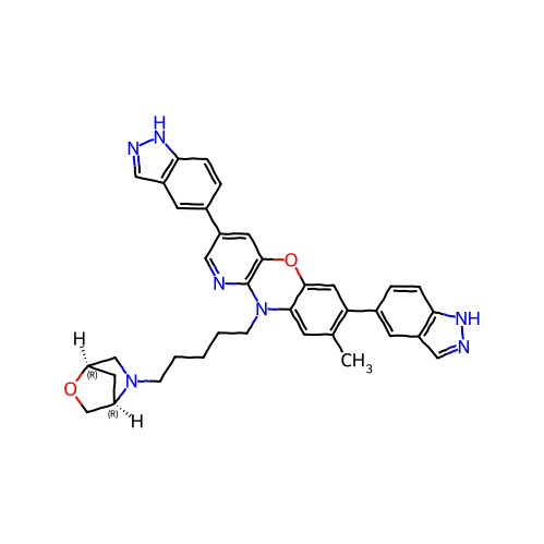 Cc1cc2c(cc1-c1ccc3[nH]ncc3c1)Oc1cc(-c3ccc4[nH]ncc4c3)cnc1N2CCCCCN1C[C@H]2C[C@@H]1CO2